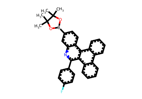 CC1(C)OB(c2ccc3c(c2)nc(-c2ccc(F)cc2)c2c4ccccc4c4ccccc4c32)OC1(C)C